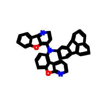 c1cc2c3c(cccc3c1)-c1cc(N(c3ccnc4c3oc3ccccc34)c3cccc4oc5ncccc5c34)ccc1-2